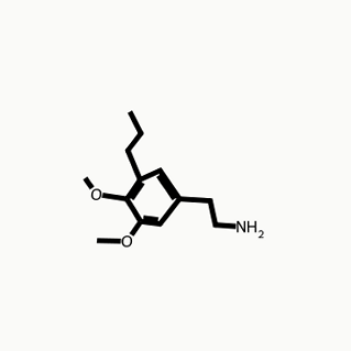 CCCc1cc(CCN)cc(OC)c1OC